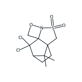 CC1(C)C2CCC13CS(=O)(=O)N1OCC13C2(Cl)Cl